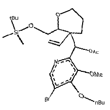 C=CC1(C(OC(C)=O)c2ncc(Br)c(OCCCC)c2OC)CCCOC1CO[Si](C)(C)C(C)(C)C